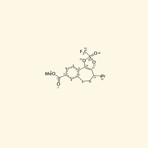 COC(=O)c1ccc2c(c1)CCC(C(C)C)C=C2OS(=O)(=O)C(F)(F)F